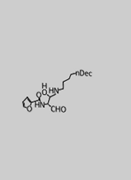 CCCCCCCCCCCCCCNC[C@H](O)[C@@H](C=O)NC(=O)c1ccco1